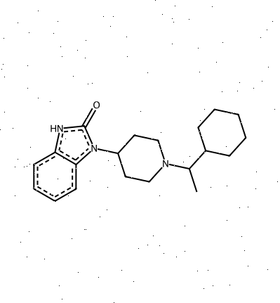 CC(C1CCCCC1)N1CCC(n2c(=O)[nH]c3ccccc32)CC1